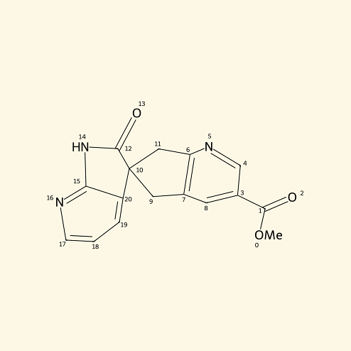 COC(=O)c1cnc2c(c1)CC1(C2)C(=O)Nc2ncccc21